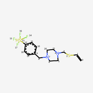 C=CSCN1CCN(Cc2ccc([SH](F)(F)(F)F)cc2)CC1